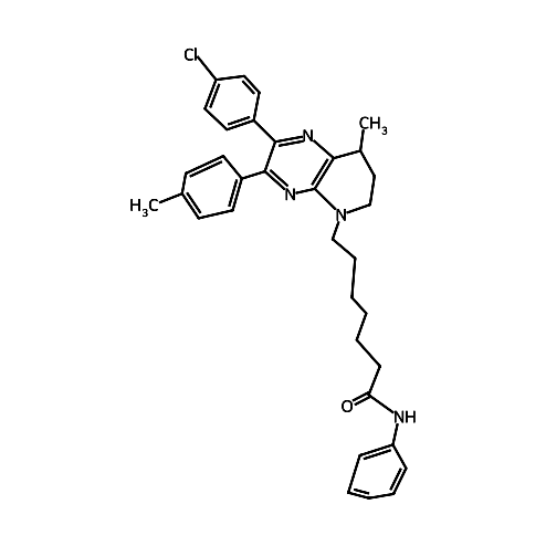 Cc1ccc(-c2nc3c(nc2-c2ccc(Cl)cc2)C(C)CCN3CCCCCCC(=O)Nc2ccccc2)cc1